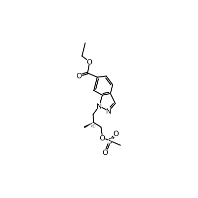 CCOC(=O)c1ccc2cnn(C[C@H](C)COS(C)(=O)=O)c2c1